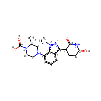 C[C@H]1CN(c2cccc3c(C4CCC(=O)NC4=O)nn(C)c23)CCN1C(=O)O